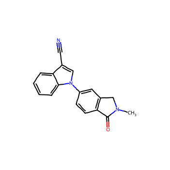 CN1Cc2cc(-n3cc(C#N)c4ccccc43)ccc2C1=O